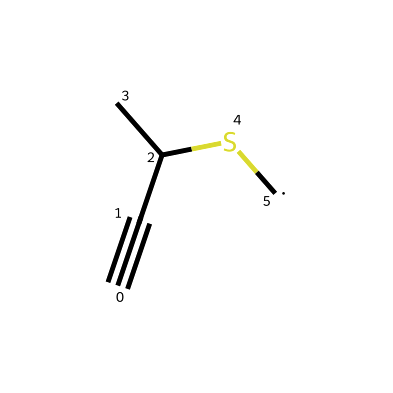 C#CC(C)S[CH2]